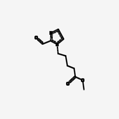 COC(=O)CCCCn1ccnc1C=O